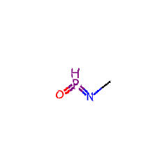 CN=[PH]=O